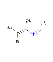 C/C=N\C(C)=C(/CC)C(C)(C)C